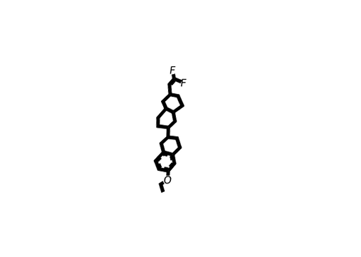 CCOc1ccc2c(c1)CCC(C1CCC3CC(C=C(F)F)CCC3C1)C2